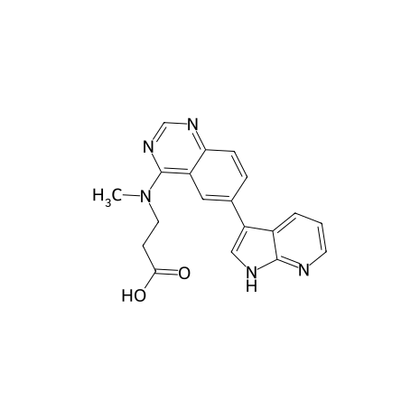 CN(CCC(=O)O)c1ncnc2ccc(-c3c[nH]c4ncccc34)cc12